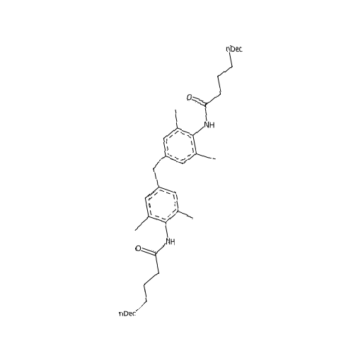 CCCCCCCCCCCCCC(=O)Nc1c(C)cc(Cc2cc(C)c(NC(=O)CCCCCCCCCCCCC)c(C)c2)cc1C